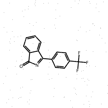 O=C1N=C(c2ccc(C(F)(F)F)cc2)c2ccccc21